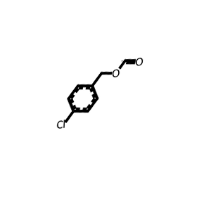 O=[C]OCc1ccc(Cl)cc1